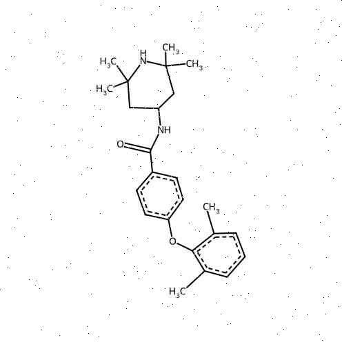 Cc1cccc(C)c1Oc1ccc(C(=O)NC2CC(C)(C)NC(C)(C)C2)cc1